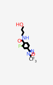 O=C(NCCCCO)c1ccc(-c2noc(C(F)(F)F)n2)cc1F